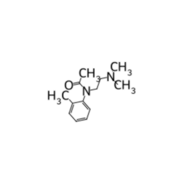 CC(=O)N(CCN(C)C)c1ccccc1C